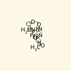 C=C1Nc2nc(nc3cnc(P4(=O)CCN(C(C)=O)CC4)c(C(F)(F)F)c23)OCCOc2ccccc21